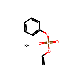 C=COS(=O)(=O)Oc1ccccc1.[KH]